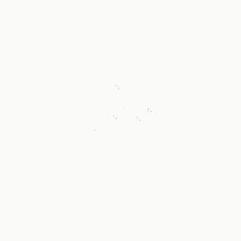 CCCc1c(CO)[nH]c2c(C#N)cnn2c1=O